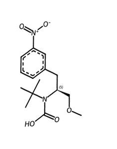 COC[C@H](Cc1cccc([N+](=O)[O-])c1)N(C(=O)O)C(C)(C)C